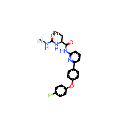 CC(C)CC(NC(=O)NC(C)C)C(=O)Nc1cccc(-c2ccc(Oc3ccc(F)cc3)cc2)n1